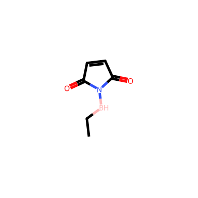 CCBN1C(=O)C=CC1=O